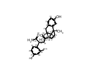 CN1CC[C@@]2(C)c3cc(O)ccc3C[C@@H]1[C@H]2NC(=O)CC(C(N)=O)c1ccc(F)cc1F